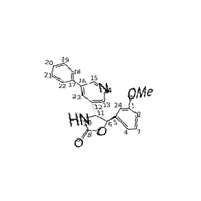 COc1cccc([C@H]2OC(=O)N[C@@H]2c2cncc(-c3ccccc3)c2)c1